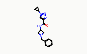 O=C(NC1CN(Cc2ccccc2)C1)c1cn(C2CC2)nn1